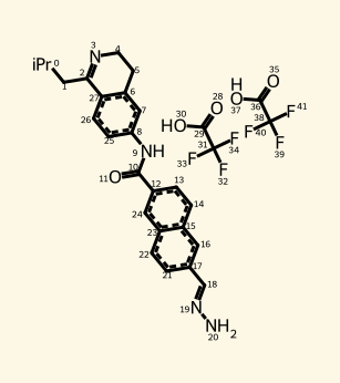 CC(C)CC1=NCCc2cc(NC(=O)c3ccc4cc(C=NN)ccc4c3)ccc21.O=C(O)C(F)(F)F.O=C(O)C(F)(F)F